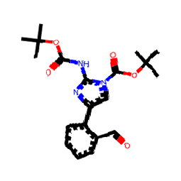 CC(C)(C)OC(=O)Nc1nc(-c2ccccc2C=O)cn1C(=O)OC(C)(C)C